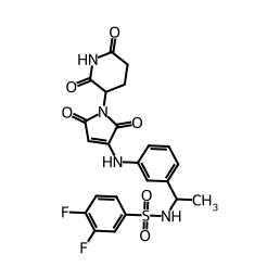 CC(NS(=O)(=O)c1ccc(F)c(F)c1)c1cccc(NC2=CC(=O)N(C3CCC(=O)NC3=O)C2=O)c1